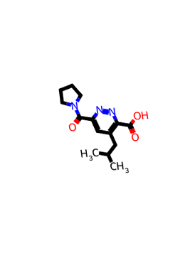 CC(C)Cc1cc(C(=O)N2CCCC2)nnc1C(=O)O